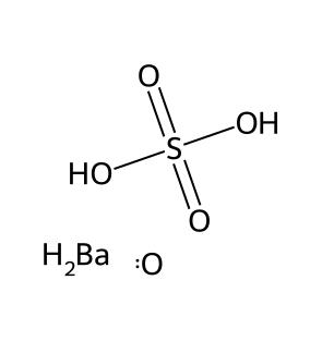 O=S(=O)(O)O.[BaH2].[O]